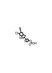 N#Cc1cc2nc(-n3cc(OC(=O)O)cn3)[nH]c2cc1Cl